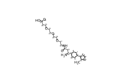 Cc1ncsc1-c1ccc([C@@H](N)CC(=O)NCCOCCOCCOCCC(=O)O)cc1